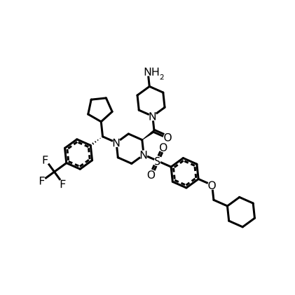 NC1CCN(C(=O)[C@@H]2CN([C@H](c3ccc(C(F)(F)F)cc3)C3CCCC3)CCN2S(=O)(=O)c2ccc(OCC3CCCCC3)cc2)CC1